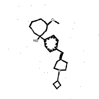 COC1CCCCC(O)(c2ccc(C=C3CCN(C4CCC4)CC3)cc2)C1